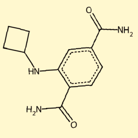 NC(=O)c1ccc(C(N)=O)c(NC2CCC2)c1